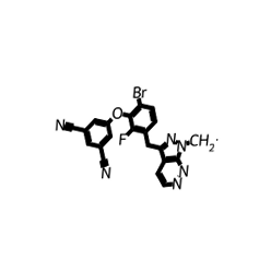 [CH2]n1nc(Cc2ccc(Br)c(Oc3cc(C#N)cc(C#N)c3)c2F)c2ccnnc21